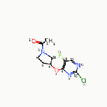 CC(=O)N1CCC(Oc2nc(Cl)ncc2F)C1